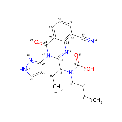 CCCCN(C(=O)O)C(CC)c1nc2c(C#N)cccc2c(=O)n1-c1cc[nH]n1